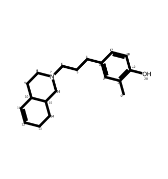 Cc1cc(CCCN2CCC3C=CCCC3C2)ccc1O